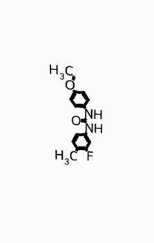 CCOc1ccc(NC(=O)Nc2ccc(C)c(F)c2)cc1